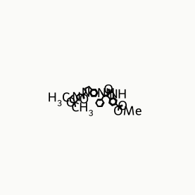 COC(=O)c1ccc2c(c1)NC(=O)/C2=C(\Nc1ccc2c(c1)CCN2C(=O)CN1CC(C)OC(C)C1)C1=CCCC=C1